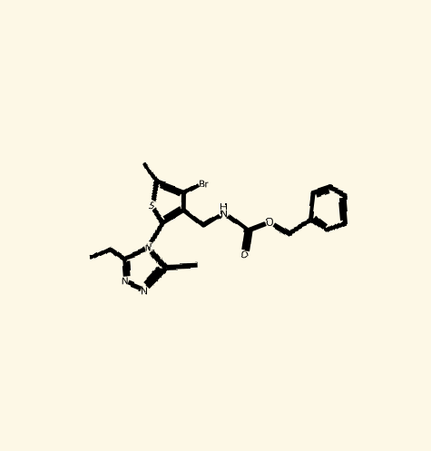 CCc1nnc(C)n1-c1sc(C)c(Br)c1CNC(=O)OCc1ccccc1